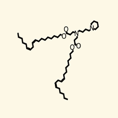 CCCCC/C=C\C/C=C\CCCCCCCCOC(=O)CCN(CCCCN1CCCCC1)CCC(=O)OCCCCCCCC/C=C\C/C=C\CCCCC